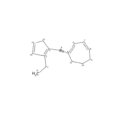 CCC1=[C]([Ru][C]2=CC=CCCC2)CC=C1